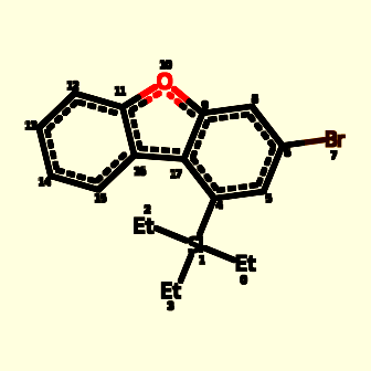 CC[Si](CC)(CC)c1cc(Br)cc2oc3ccccc3c12